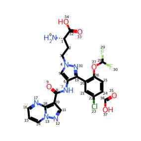 N[C@@H](CCn1cc(NC(=O)c2cnn3cccnc23)c(-c2cc(Cl)ccc2OC(F)F)n1)C(=O)O.O=CO